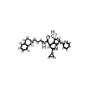 Cc1nn(-c2ccccn2)c2nc(C3CC3)cc(C(=O)NCCCN3CCc4ccccc4C3)c12